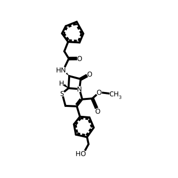 COC(=O)C1=C(c2ccc(CO)cc2)CS[C@@H]2[C@H](NC(=O)Cc3ccccc3)C(=O)N12